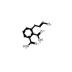 NC(=O)c1cccc(CC=CCl)c1C(=O)O